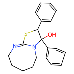 OC1(c2ccccc2)C(c2ccccc2)SC2=NCCCCCN21